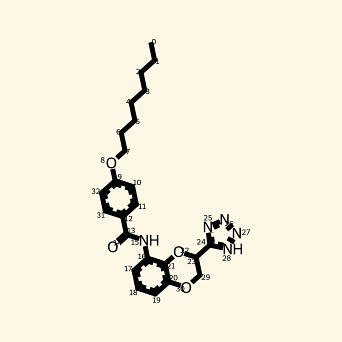 CCCCCCCCOc1ccc(C(=O)Nc2cccc3c2OC(c2nnn[nH]2)CO3)cc1